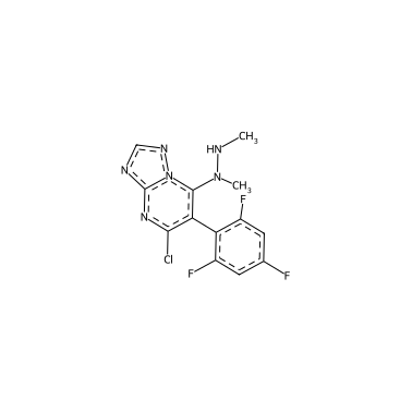 CNN(C)c1c(-c2c(F)cc(F)cc2F)c(Cl)nc2ncnn12